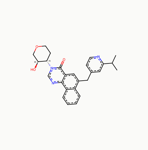 CC(C)c1cc(Cc2cc3c(=O)n([C@H]4CCOC[C@@H]4O)cnc3c3ccccc23)ccn1